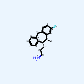 C[C@@H]1c2cc(F)ccc2Cc2ccccc2[C@H]1CCCN